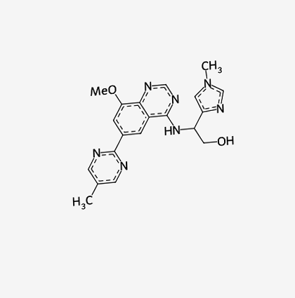 COc1cc(-c2ncc(C)cn2)cc2c(NC(CO)c3cn(C)cn3)ncnc12